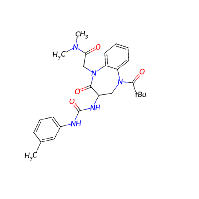 Cc1cccc(NC(=O)NC2CN(C(=O)C(C)(C)C)c3ccccc3N(CC(=O)N(C)C)C2=O)c1